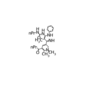 CCCNC(=O)N/C(Nc1ccccc1)=C(\C)C(=N)C1=CC(C(=O)CCC)=C(C)N(C)C1